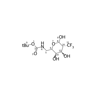 CC(C)(C)OC(=O)NCC1OC(O)[C@H](C(F)(F)F)[C@@H](O)[C@H]1O